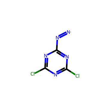 [N]=Nc1nc(Cl)nc(Cl)n1